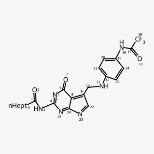 CCCCCCCC(=O)NC1=NC(=O)C2=C(CNc3ccc(NC(=O)C(F)(F)F)cc3)C=NC2=N1